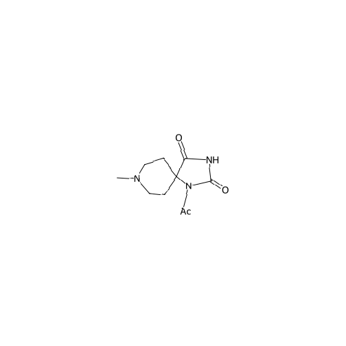 CC(=O)N1C(=O)NC(=O)C12CCN(C)CC2